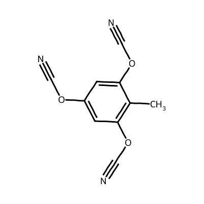 Cc1c(OC#N)cc(OC#N)cc1OC#N